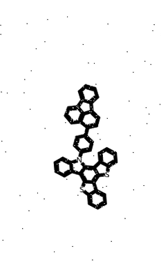 c1ccc2c(c1)-c1cccc3c(-c4ccc(-n5c6ccccc6c6c7sc8ccccc8c7c7sc8ccccc8c7c65)cc4)ccc-2c13